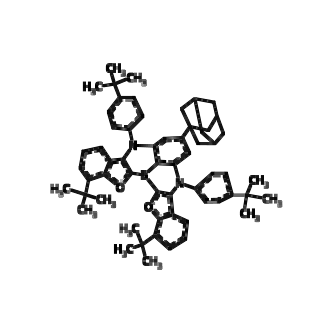 CC(C)(C)c1ccc(N2c3cc(C45CC6CC(CC(C6)C4)C5)cc4c3B(c3oc5c(C(C)(C)C)cccc5c32)c2oc3c(C(C)(C)C)cccc3c2N4c2ccc(C(C)(C)C)cc2)cc1